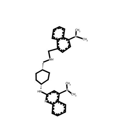 CN(C)c1cc(N[C@H]2CC[C@@H](CNCc3ccc(N(C)C)c4ccccc34)CC2)nc2ccccc12